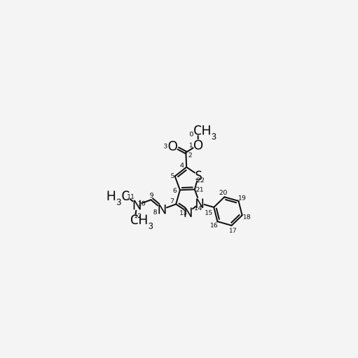 COC(=O)c1cc2c(N=CN(C)C)nn(-c3ccccc3)c2s1